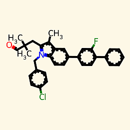 Cc1c(CC(C)(C)C=O)n(Cc2ccc(Cl)cc2)c2ccc(-c3ccc(-c4ccccc4)c(F)c3)cc12